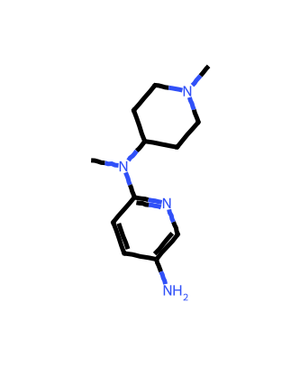 CN1CCC(N(C)c2ccc(N)cn2)CC1